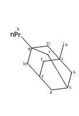 [CH2]C12CC3CC(C1)CC(CCC)(C3)C2